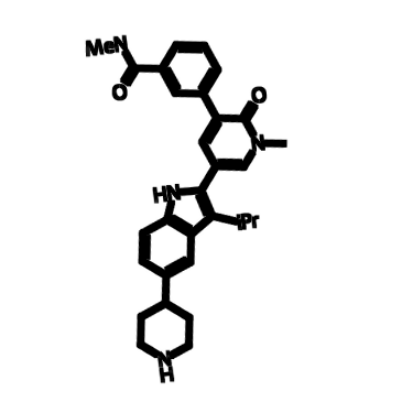 CNC(=O)c1cccc(-c2cc(-c3[nH]c4ccc(C5CCNCC5)cc4c3C(C)C)cn(C)c2=O)c1